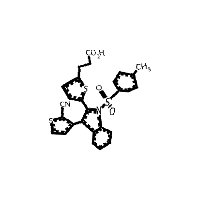 Cc1ccc(S(=O)(=O)n2c(-c3ccc(CCC(=O)O)s3)c(-c3ccsc3C#N)c3ccccc32)cc1